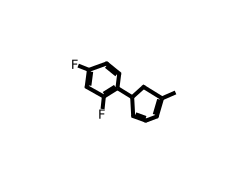 CC1=CC=CC(c2ccc(F)cc2F)C1